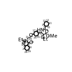 CCOC(C(=O)OC)C(NCc1ccccc1)c1ccc(OCCn2c(CC)nc3ccccc3c2=O)cc1